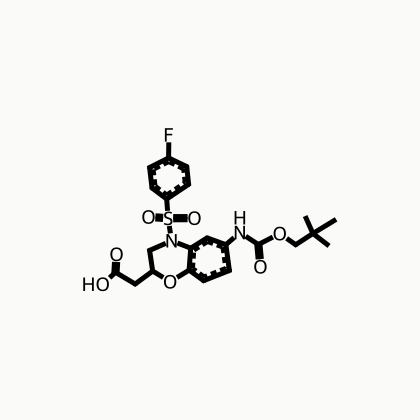 CC(C)(C)COC(=O)Nc1ccc2c(c1)N(S(=O)(=O)c1ccc(F)cc1)CC(CC(=O)O)O2